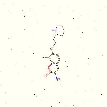 Cc1c(OCCC2CCCCN2)ccc2cc(N)c(=O)oc12